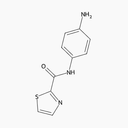 Nc1ccc(NC(=O)c2nccs2)cc1